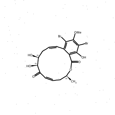 COc1c(Br)c(O)c2c(c1Br)C=CC[C@H](O)[C@H](O)C(=O)C=CC[C@H](C)OC2=O